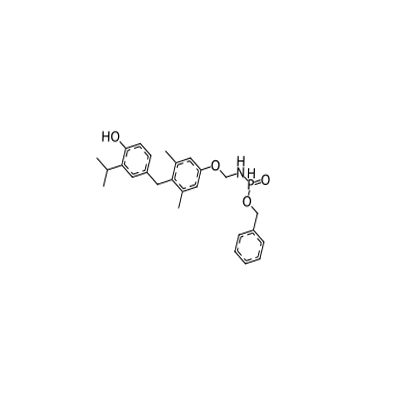 Cc1cc(OCN[PH](=O)OCc2ccccc2)cc(C)c1Cc1ccc(O)c(C(C)C)c1